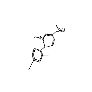 Cc1ccc(C2C=CC([SiH](C)C)=CN2C)c(C)c1